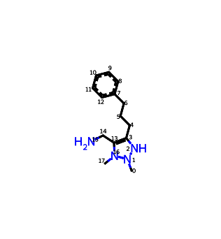 CN1NC(CCCc2ccccc2)=C(CN)N1C